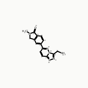 CN1Cc2cc(-c3ccc4nnc(CN)n4n3)ccc2C1=O